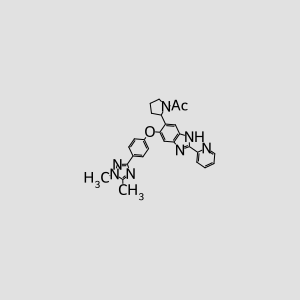 CC(=O)N1CCCC1c1cc2[nH]c(-c3ccccn3)nc2cc1Oc1ccc(-c2nc(C)n(C)n2)cc1